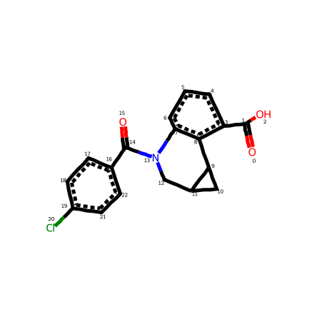 O=C(O)c1cccc2c1C1CC1CN2C(=O)c1ccc(Cl)cc1